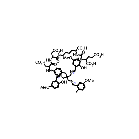 COc1ccc(O)c(/C=N\CC(C/N=C/c2cc(OC)ccc2C)(C/N=C/c2cc(OC)ccc2O)Cc2ccc(NC(CC(=O)O)C(=O)N[C@@H](CC(=O)O)C(=O)NCCCCC(NC(=O)NC(CCC(=O)O)C(=O)O)C(=O)O)cc2)c1